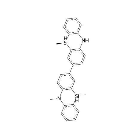 CN1c2ccccc2[Si@@H](C)c2cc(-c3ccc4c(c3)[Si@@H](C)c3ccccc3N4)ccc21